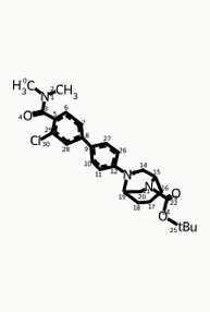 CN(C)C(=O)c1ccc(-c2ccc(N3CC4CCCC3CN4C(=O)OC(C)(C)C)cc2)cc1Cl